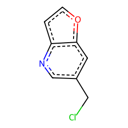 ClCc1cnc2ccoc2c1